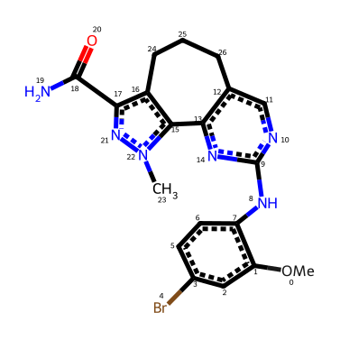 COc1cc(Br)ccc1Nc1ncc2c(n1)-c1c(c(C(N)=O)nn1C)CCC2